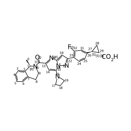 C[C@@H]1c2ccccc2CCN1C(=O)c1cc(N2CCC2)n2nc(-c3ccc([C@H]4C[C@@H]4C(=O)O)cc3F)cc2n1